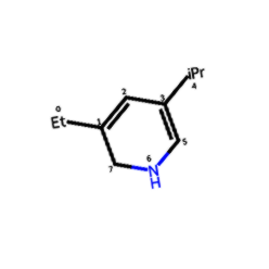 CCC1=CC(C(C)C)=CNC1